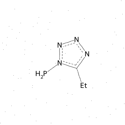 CCc1nnnn1P